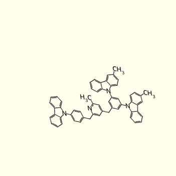 Cc1ccc2c(c1)c1ccccc1n2-c1cc(Cc2cc(C)nc(Cc3ccc(-n4c5ccccc5c5ccccc54)cc3)c2)cc(-n2c3ccccc3c3cc(C)ccc32)c1